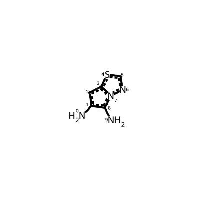 Nc1cc2scnn2c1N